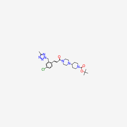 Cc1nnn(Cc2cc(Cl)ccc2/C=C/C(=O)N2CCN(C3CCN(C(=O)OC(C)(C)C)CC3)CC2)n1